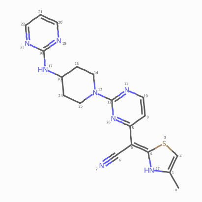 CC1=CSC(=C(C#N)c2ccnc(N3CCC(Nc4ncccn4)CC3)n2)N1